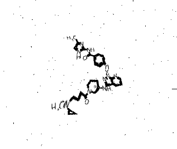 Cc1c[nH]c(NC(=O)c2ccc(On3nc(N[C@@H]4CCCN(C(=O)C=CCN(C)C5CC5)C4)c4cccnc43)cc2)n1